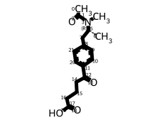 CC(=O)N(C)[C@H](C)Cc1ccc(C(=O)CCCC(=O)O)cc1